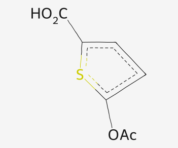 CC(=O)Oc1ccc(C(=O)O)s1